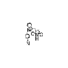 N#Cc1ccc(Cn2cc(CC3SC(=O)NC3=O)c3ccccc32)cc1